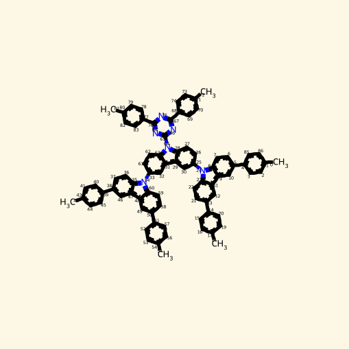 Cc1ccc(-c2ccc3c(c2)c2cc(-c4ccc(C)cc4)ccc2n3-c2ccc3c(c2)c2cc(-n4c5ccc(-c6ccc(C)cc6)cc5c5cc(-c6ccc(C)cc6)ccc54)ccc2n3-c2nc(-c3ccc(C)cc3)nc(-c3ccc(C)cc3)n2)cc1